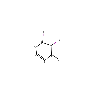 CC1C=CCC(I)C1I